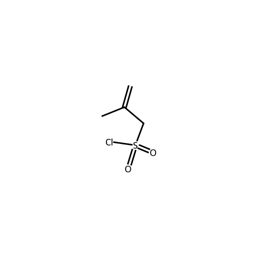 C=C(C)CS(=O)(=O)Cl